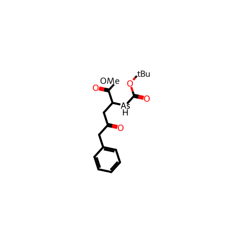 COC(=O)C(CC(=O)Cc1ccccc1)[AsH]C(=O)OC(C)(C)C